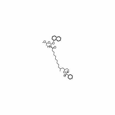 CCC(CC(C)CCCCCCCCCC(=O)NC(Oc1cccc2ccccc12)OC(C)OC)OS(=O)(=O)c1ccccc1